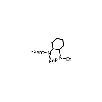 CCCCCN(CC)C1CCCCC1N(CC)CCC